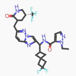 CCn1nccc1C(=O)NC(c1cn2nc(CC3C[C@@H](C(F)(F)F)CNC3=O)ccc2n1)C1CC2(C1)CC(F)(F)C2